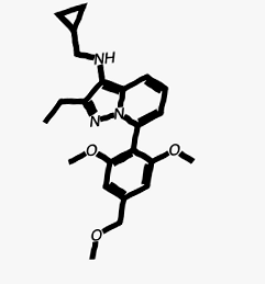 CCc1nn2c(-c3c(OC)cc(COC)cc3OC)cccc2c1NCC1CC1